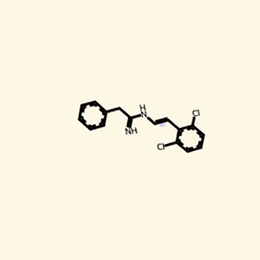 N=C(Cc1ccccc1)N/C=C/c1c(Cl)cccc1Cl